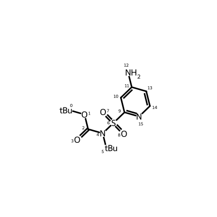 CC(C)(C)OC(=O)N(C(C)(C)C)S(=O)(=O)c1cc(N)ccn1